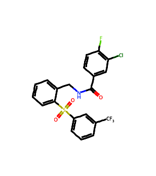 O=C(NCc1ccccc1S(=O)(=O)c1cccc(C(F)(F)F)c1)c1ccc(F)c(Cl)c1